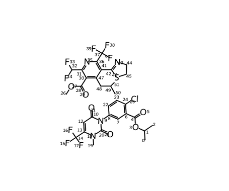 CC(C)OC(=O)c1cc(-n2c(=O)cc(C(F)(F)F)n(C)c2=O)ccc1Cl.COC(=O)c1c(C(F)F)nc(C(F)(F)F)c(C2=NCCS2)c1CC(C)C